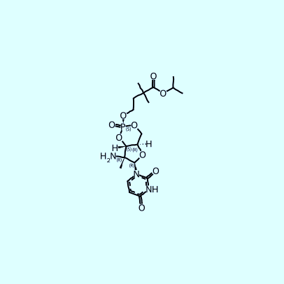 CC(C)OC(=O)C(C)(C)CCO[P@@]1(=O)OC[C@H]2O[C@@H](n3ccc(=O)[nH]c3=O)[C@](C)(N)[C@@H]2O1